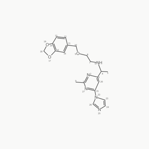 Cc1nc(C(C)NCCOCc2ccc3c(c2)OCO3)cc(-n2ccnc2)n1